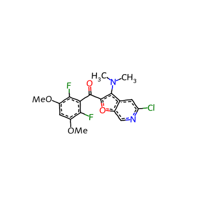 COc1cc(OC)c(F)c(C(=O)c2oc3cnc(Cl)cc3c2N(C)C)c1F